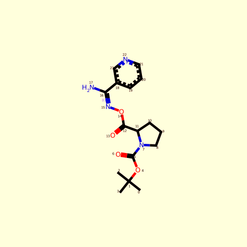 CC(C)(C)OC(=O)N1CCCC1C(=O)O/N=C(/N)c1cccnc1